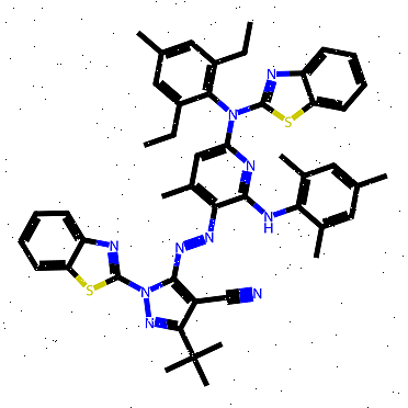 CCc1cc(C)cc(CC)c1N(c1cc(C)c(N=Nc2c(C#N)c(C(C)(C)C)nn2-c2nc3ccccc3s2)c(Nc2c(C)cc(C)cc2C)n1)c1nc2ccccc2s1